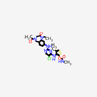 CCN1C(=O)CN(C(C)=O)Cc2ccc(Nc3ncc(Cl)c(Nc4c(C)csc4OC(=O)NC)n3)cc21